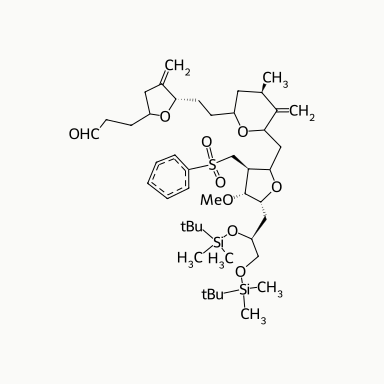 C=C1C(CC2O[C@H](C[C@@H](CO[Si](C)(C)C(C)(C)C)O[Si](C)(C)C(C)(C)C)[C@H](OC)[C@H]2CS(=O)(=O)c2ccccc2)OC(CC[C@@H]2OC(CCC=O)CC2=C)C[C@H]1C